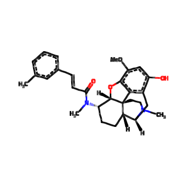 COc1cc(O)c2c3c1O[C@H]1[C@@H](N(C)C(=O)C=Cc4cccc(C)c4)CC[C@H]4[C@@H](C2)N(C)CC[C@@]341